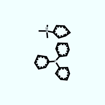 C[PH](C)(C)c1ccccc1.c1ccc(P(c2ccccc2)c2ccccc2)cc1